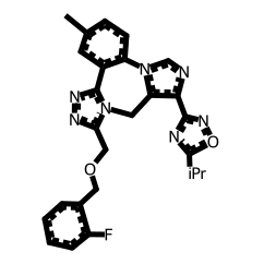 Cc1ccc2c(c1)-c1nnc(COCc3ccccc3F)n1Cc1c(-c3noc(C(C)C)n3)ncn1-2